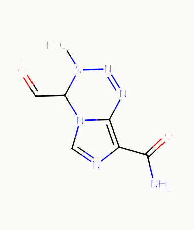 CN1N=Nc2c(C(N)=O)ncn2C1C=O